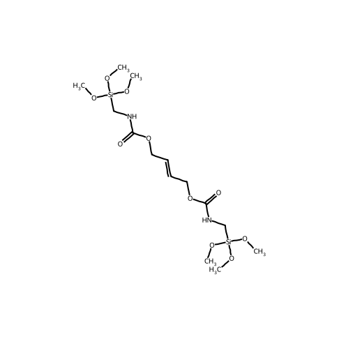 CO[Si](CNC(=O)OC/C=C/COC(=O)NC[Si](OC)(OC)OC)(OC)OC